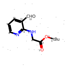 CC(C)(C)OC(=O)CNc1ncccc1C=O